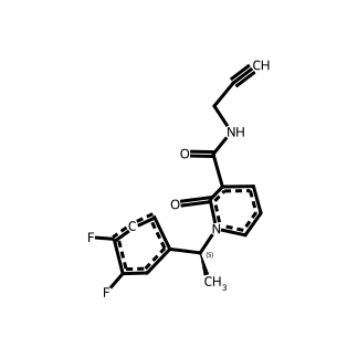 C#CCNC(=O)c1cccn([C@@H](C)c2ccc(F)c(F)c2)c1=O